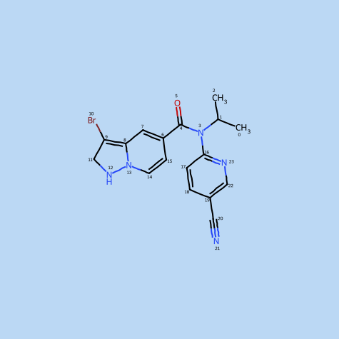 CC(C)N(C(=O)C1=CC2=C(Br)CNN2C=C1)c1ccc(C#N)cn1